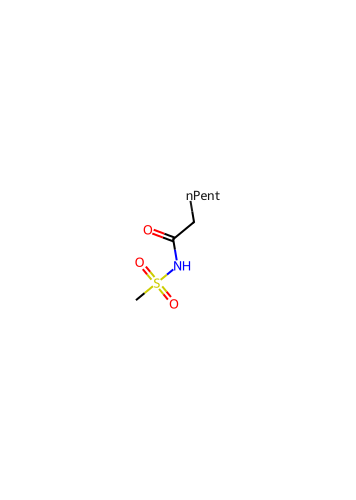 CCCCCCC(=O)NS(C)(=O)=O